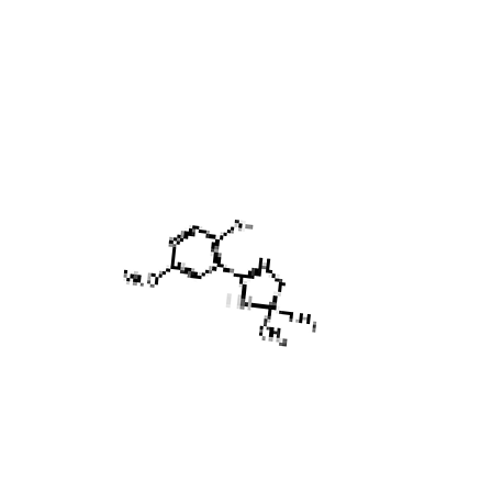 COc1ccc(S)c(C2=NCC(C)(C)N2)c1